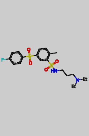 CCN(CC)CCCNS(=O)(=O)c1cc(S(=O)(=O)c2ccc(F)cc2)ccc1C